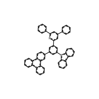 c1ccc(-c2cc(-c3ccccc3)nc(-c3cc(-c4ccc5c6ccccc6c6ccccc6c5c4)cc(-n4c5ccccc5c5ccccc54)c3)c2)cc1